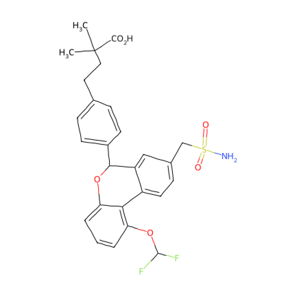 CC(C)(CCc1ccc(C2Oc3cccc(OC(F)F)c3-c3ccc(CS(N)(=O)=O)cc32)cc1)C(=O)O